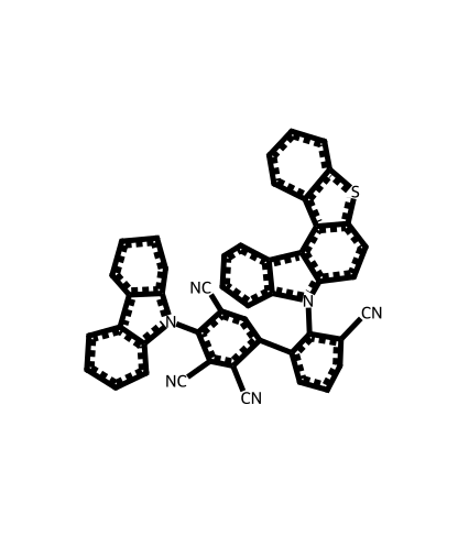 N#Cc1cc(-c2cccc(C#N)c2-n2c3ccccc3c3c4c(ccc32)sc2ccccc24)c(C#N)c(C#N)c1-n1c2ccccc2c2ccccc21